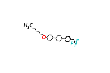 CCCCCCCOC1CCC(C2CCC(c3ccc(CC(F)(F)F)cc3)CC2)CC1